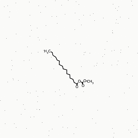 CCCCCCCCCCCCCCCC(=O)OC(=O)OC